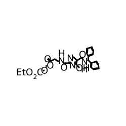 CCOC(=O)OCOC(=O)CCNC(=O)c1ncc(C(=O)NC(c2ccccc2)c2ccccc2)c(O)n1